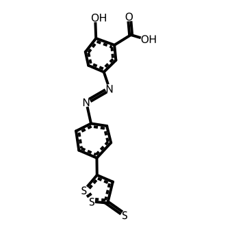 O=C(O)c1cc(/N=N/c2ccc(-c3cc(=S)ss3)cc2)ccc1O